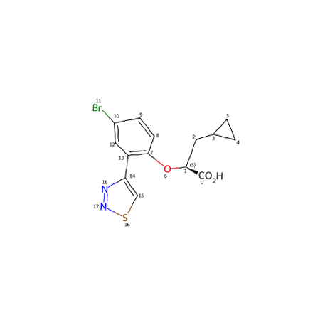 O=C(O)[C@H](CC1CC1)Oc1ccc(Br)cc1-c1csnn1